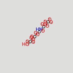 COc1cc(C(=O)Oc2ccc(C(=O)Oc3ccc(NC(=O)c4ccc(OC(=O)c5cc(OC)c(OC)cc5OC)c(OC)c4)cc3)cc2OC)c(OC)cc1CO